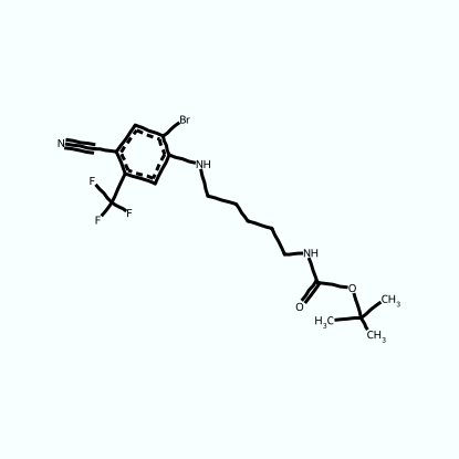 CC(C)(C)OC(=O)NCCCCCNc1cc(C(F)(F)F)c(C#N)cc1Br